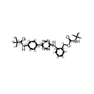 CC(C)(C)NC(=O)OCc1ccccc1Nc1nnc(-c2ccc(NC(=O)C(C)(C)C)cc2)nn1